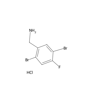 Cl.NCc1cc(Br)c(F)cc1Br